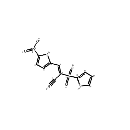 N#C/C(=C\c1ccc([N+](=O)[O-])s1)S(=O)(=O)c1cccs1